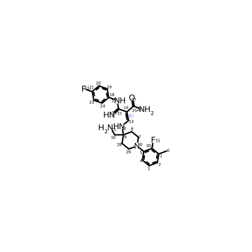 Cc1cccc(N2CCC(CN)(N/C=C(\C(=N)Nc3ccc(F)cc3)C(N)=O)CC2)c1F